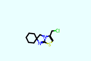 ClCC1=CSC2=NC3(CCCCC3)CN12